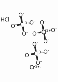 Cl.[Cr+3].[O-][Cl+3]([O-])([O-])[O-].[O-][Cl+3]([O-])([O-])[O-].[O-][Cl+3]([O-])([O-])[O-]